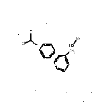 CCO.Cc1ccccc1.ClC(Cl)Cl.c1ccccc1